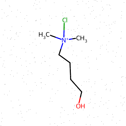 C[N+](C)(Cl)CCCCO